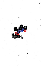 C=C(c1ncn(C2CCCCCC2=O)c1-c1ccccc1)N1CCN(C(=O)OC(C)(C)C)C[C@H]1Cc1ccccc1